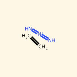 C=C.N=[N+]=N